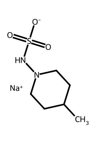 CC1CCN(NS(=O)(=O)[O-])CC1.[Na+]